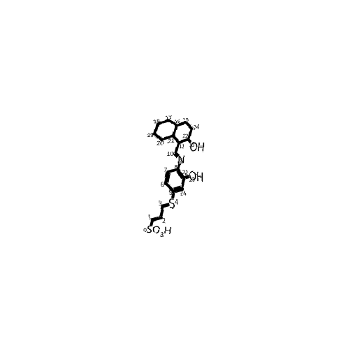 O=S(=O)(O)CCCSc1ccc(N=CC2C(O)CCC3CCCCC32)c(O)c1